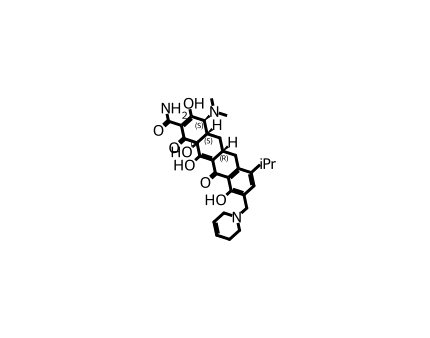 CC(C)c1cc(CN2CC=CCC2)c(O)c2c1C[C@H]1C[C@H]3[C@H](N(C)C)C(O)=C(C(N)=O)C(=O)[C@@]3(O)C(O)=C1C2=O